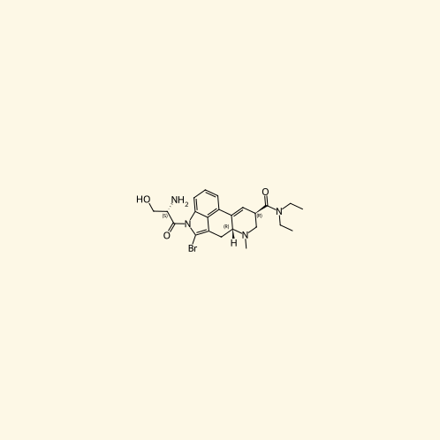 CCN(CC)C(=O)[C@@H]1C=C2c3cccc4c3c(c(Br)n4C(=O)[C@@H](N)CO)C[C@H]2N(C)C1